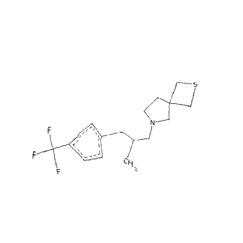 CC(Cc1ccc(C(F)(F)F)cc1)CN1CCC2(CSC2)C1